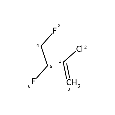 C=CCl.FCCF